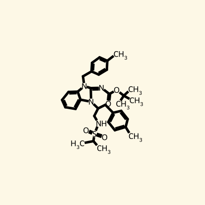 Cc1ccc(CC(CNS(=O)(=O)C(C)C)n2c(=NC(=O)OC(C)(C)C)n(Cc3ccc(C)cc3)c3ccccc32)cc1